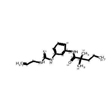 C=CCNC(=S)Nc1cccc(NC(=O)C(C)(C)CCC)c1